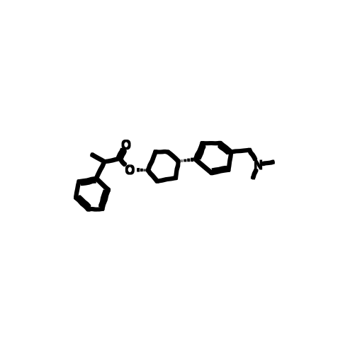 CC(C(=O)O[C@H]1CC[C@@H](c2ccc(CN(C)C)cc2)CC1)c1ccccc1